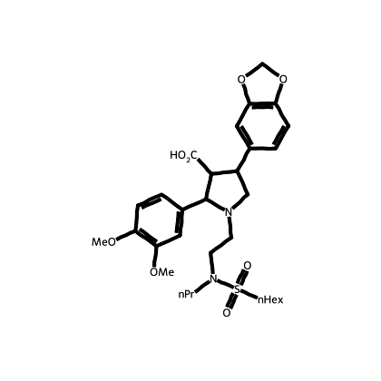 CCCCCCS(=O)(=O)N(CCC)CCN1CC(c2ccc3c(c2)OCO3)C(C(=O)O)C1c1ccc(OC)c(OC)c1